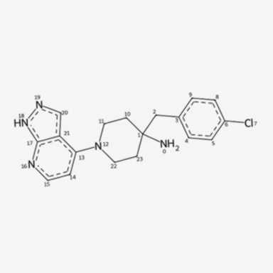 NC1(Cc2ccc(Cl)cc2)CCN(c2ccnc3[nH]ncc23)CC1